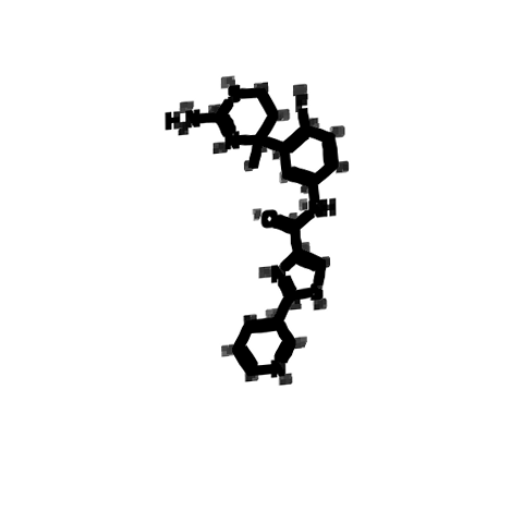 CC1(c2cc(NC(=O)c3csc(-c4cccnc4)n3)ccc2F)CCSC(N)=N1